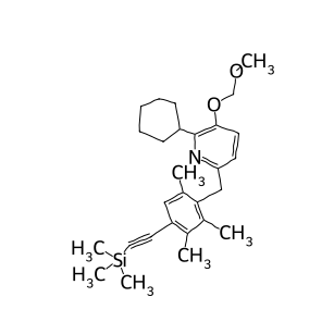 COCOc1ccc(Cc2c(C)cc(C#C[Si](C)(C)C)c(C)c2C)nc1C1CCCCC1